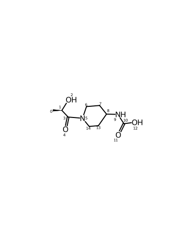 C[C@@H](O)C(=O)N1CCC(NC(=O)O)CC1